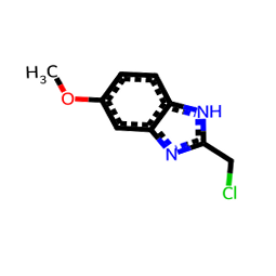 COc1ccc2[nH]c(CCl)nc2c1